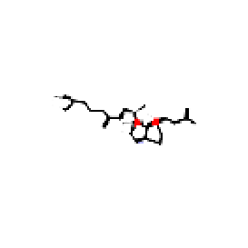 C=C(C)CC=C=C(/C1=C\CCOCCC1)c1oc(C(=C)CCCC2COC2)cc1C